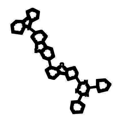 c1ccc(-c2nc(-c3ccccc3)nc(-c3ccc4oc5c(-c6ccc7c(c6)sc6cc(-n8c9ccccc9c9ccccc98)ccc67)cccc5c4c3)n2)cc1